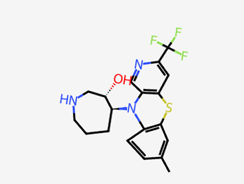 Cc1ccc2c(c1)Sc1cc(C(F)(F)F)ncc1N2[C@H]1CCCNC[C@@H]1O